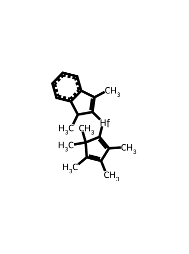 CC1=C(C)C(C)(C)[C]([Hf][C]2=C(C)c3ccccc3C2C)=C1C